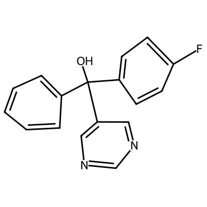 OC(c1ccccc1)(c1ccc(F)cc1)c1cncnc1